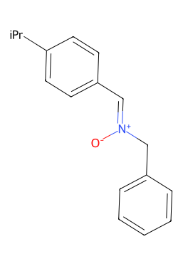 CC(C)c1ccc(C=[N+]([O-])Cc2ccccc2)cc1